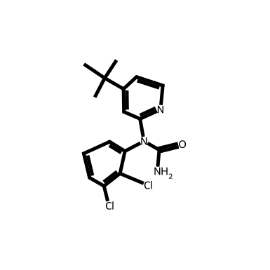 CC(C)(C)c1ccnc(N(C(N)=O)c2cccc(Cl)c2Cl)c1